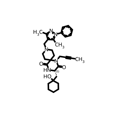 CC#CCN1C(=O)[C@H](CC2(O)CCCCC2)NC(=O)C12CCN(Cc1c(C)nn(-c3ccccc3)c1C)CC2